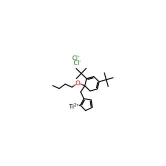 CCCCOC1(CC2=[C]([Ti+2])CC=C2)CC=C(C(C)(C)C)C=C1C(C)(C)C.[Cl-].[Cl-]